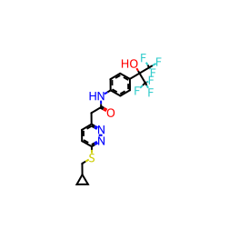 O=C(Cc1ccc(SCC2CC2)nn1)Nc1ccc(C(O)(C(F)(F)F)C(F)(F)F)cc1